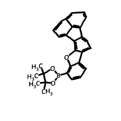 CC1(C)OB(c2cccc3c2oc2c4c(ccc23)-c2cccc3cccc-4c23)OC1(C)C